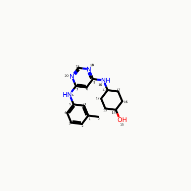 Cc1cccc(Nc2cc(NC3CCC(O)CC3)ncn2)c1